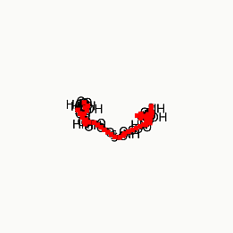 C=c1cc2c(cc1C)=C(c1cc(C(=O)NCCOCCOCCNC(=O)OCCC(C)(C)SSCOCCCCOC(=O)NCC#Cc3cn(C4C[C@H](OCSSC)[C@@H](COP(=O)(O)OP(=O)(O)OP(=O)(O)O)O4)c(=O)[nH]c3=O)ccc1C(=O)O)c1cc(C)c(NCC)cc1O2